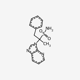 CC(Cc1ccccc1)(n1cnc2cccnc21)S(N)(=O)=O